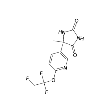 CC1(c2ccc(OC(F)(F)CF)nc2)NC(=O)NC1=O